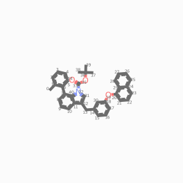 Cc1ccccc1-c1cccc2c(Cc3cccc(Oc4cccc5ccccc45)c3)cn(C(=O)OC(C)(C)C)c12